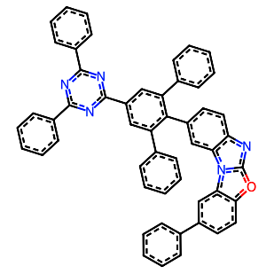 c1ccc(-c2ccc3oc4nc5ccc(-c6c(-c7ccccc7)cc(-c7nc(-c8ccccc8)nc(-c8ccccc8)n7)cc6-c6ccccc6)cc5n4c3c2)cc1